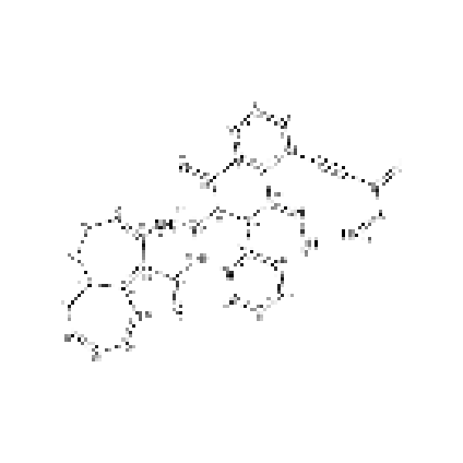 C=C(C#Cc1cccc2c1/C(=N/O)N(c1ccccc1)C([C@@H](C)NC(=O)C1=C3N=CC=CCC3CCN=C1N)C2=O)C=N